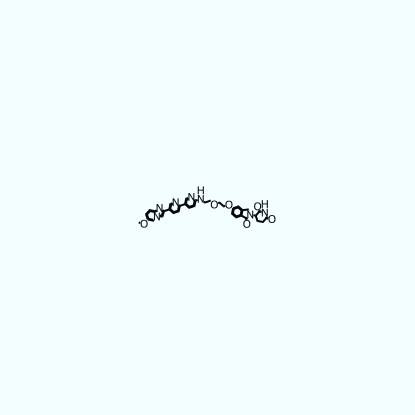 COc1ccc2nc(-c3ccc(-c4ccc(NCCOCCOc5ccc6c(c5)CN(C5CCC(=O)NC5=O)C6=O)nc4)nc3)cn2c1